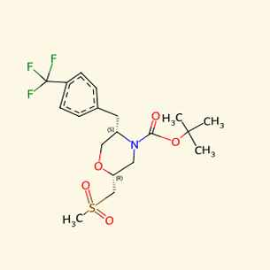 CC(C)(C)OC(=O)N1C[C@H](CS(C)(=O)=O)OC[C@@H]1Cc1ccc(C(F)(F)F)cc1